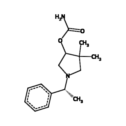 C[C@H](c1ccccc1)N1CC(OC(N)=O)C(C)(C)C1